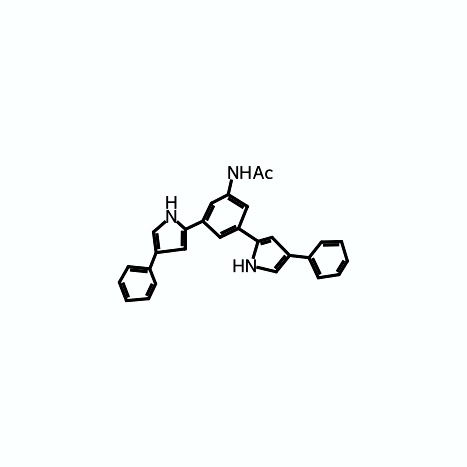 CC(=O)Nc1cc(-c2cc(-c3ccccc3)c[nH]2)cc(-c2cc(-c3ccccc3)c[nH]2)c1